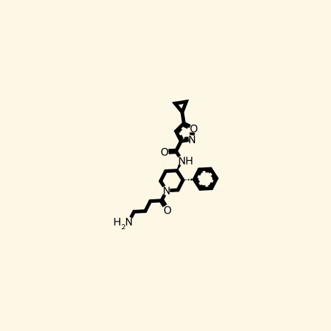 NCCCC(=O)N1CC[C@@H](NC(=O)c2cc(C3CC3)on2)[C@H](c2ccccc2)C1